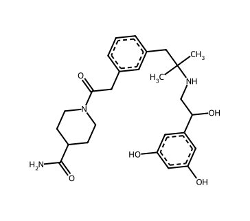 CC(C)(Cc1cccc(CC(=O)N2CCC(C(N)=O)CC2)c1)NCC(O)c1cc(O)cc(O)c1